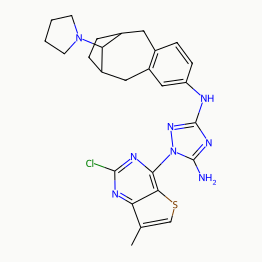 Cc1csc2c(-n3nc(Nc4ccc5c(c4)CC4CCC(C5)C4N4CCCC4)nc3N)nc(Cl)nc12